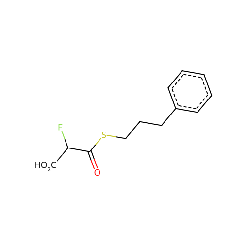 O=C(O)C(F)C(=O)SCCCc1ccccc1